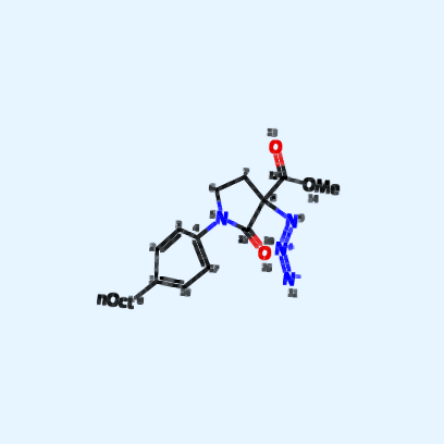 CCCCCCCCc1ccc(N2CCC(N=[N+]=[N-])(C(=O)OC)C2=O)cc1